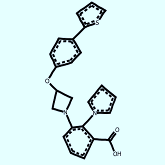 O=C(O)c1cccc(N2CC(Oc3ccc(-c4cccs4)cc3)C2)c1-n1cccc1